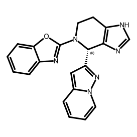 c1ccc2oc(N3CCc4[nH]cnc4[C@@H]3c3cc4ccccn4n3)nc2c1